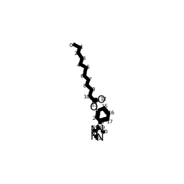 CCCCCCCCCCCC(=O)Oc1cccc(-n2cnnn2)c1